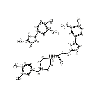 O=C(CSc1nc(-c2ccc(Cl)c([N+](=O)[O-])c2)cs1)NC1CCN(Cc2ccc(Cl)c(Cl)c2)CC1.O=[N+]([O-])c1cc(-c2csc(S)n2)ccc1Cl